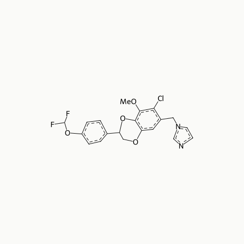 COc1c(Cl)c(Cn2ccnc2)cc2c1OC(c1ccc(OC(F)F)cc1)CO2